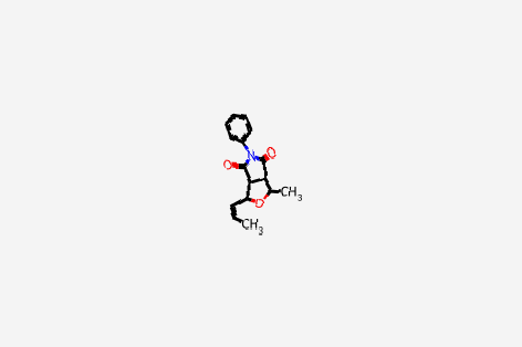 C/C=C\C1OC(C)C2C(=O)N(c3ccccc3)C(=O)C12